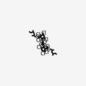 CCC(C)CC(C)COC(=O)c1c(Cl)c(Cl)cc(Cl)c1OC(=O)C(=O)Oc1c(Cl)cc(Cl)c(Cl)c1C(=O)OCC(C)CC(C)CC